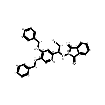 O=C1c2ccccc2C(=O)N1OC(CF)c1cc(OCc2ccccc2)c(OCc2ccccc2)cn1